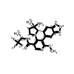 COc1ncc(C(=O)N[C@@H](C)C(F)(F)F)c(N2CC[C@](C)(N)C2)c1-c1ccc2nonc2c1